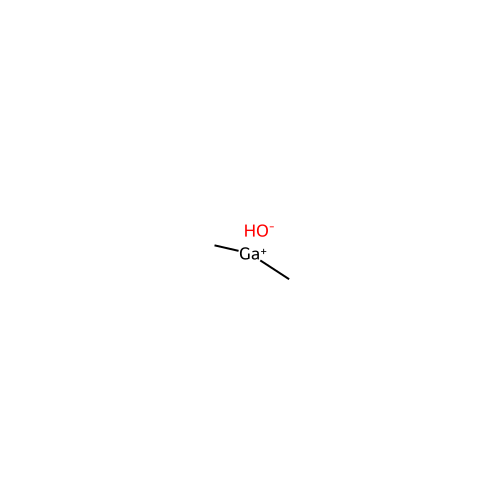 [CH3][Ga+][CH3].[OH-]